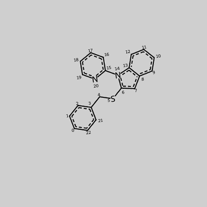 c1ccc(CSc2cc3ccccc3n2-c2ccccn2)cc1